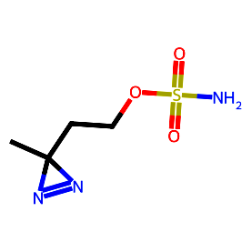 CC1(CCOS(N)(=O)=O)N=N1